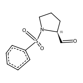 O=C[C@@H]1CCCN1S(=O)(=O)c1ccccc1